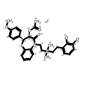 COc1ccc([C@@H]2Sc3ccccc3N(CC[N+](C)(C)CCc3cccc(Cl)c3Cl)C(=O)[C@@H]2OC(C)=O)cc1.[I-]